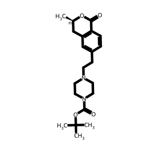 C[C@@H]1Cc2cc(CCN3CCN(C(=O)OC(C)(C)C)CC3)ccc2C(=O)O1